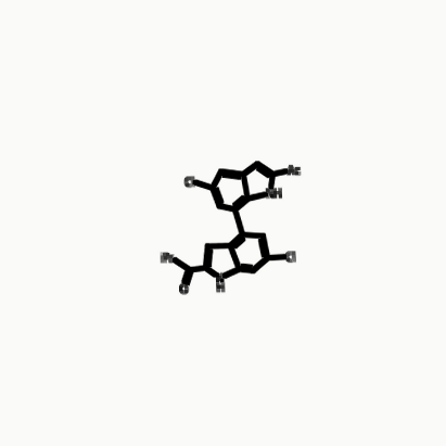 CC(=O)c1cc2cc(Cl)cc(-c3cc(Cl)cc4[nH]c(C(=O)C(C)C)cc34)c2[nH]1